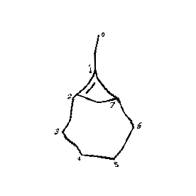 CC1=C2CCCCC12